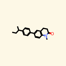 CCC(C)c1ccc(-c2ccc3c(c2)CCC(=O)N3C)cc1